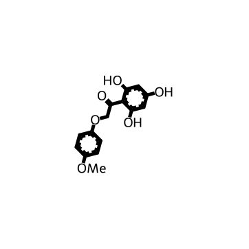 COc1ccc(OCC(=O)c2c(O)cc(O)cc2O)cc1